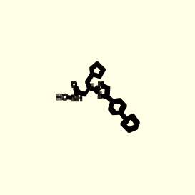 O=C(C[C@@H](CC1CCCC1)c1ncc(-c2ccc(-c3ccccc3)cc2)s1)NO